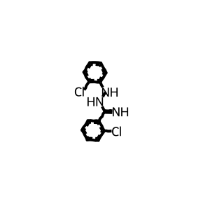 N=C(NNc1ccccc1Cl)c1ccccc1Cl